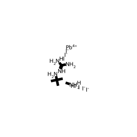 CC(C)(C)N.CN.I.I.I.N=C(N)N.[I-].[I-].[I-].[I-].[Pb+4]